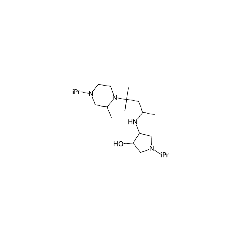 CC(CC(C)(C)N1CCN(C(C)C)CC1C)NC1CN(C(C)C)CC1O